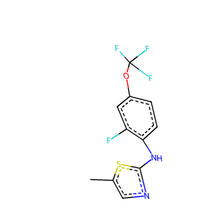 Cc1cnc(Nc2ccc(OC(F)(F)F)cc2F)s1